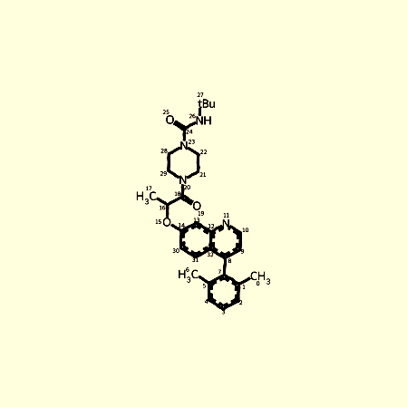 Cc1cccc(C)c1-c1ccnc2cc(OC(C)C(=O)N3CCN(C(=O)NC(C)(C)C)CC3)ccc12